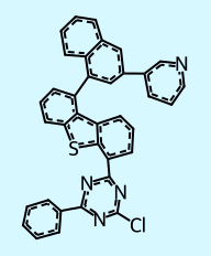 Clc1nc(-c2ccccc2)nc(-c2cccc3c2sc2cccc(-c4cc(-c5cccnc5)cc5ccccc45)c23)n1